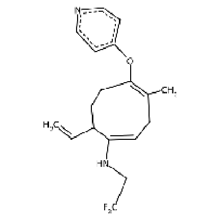 C=CC1CC/C(Oc2ccncc2)=C(/C)C/C=C\1NCC(F)(F)F